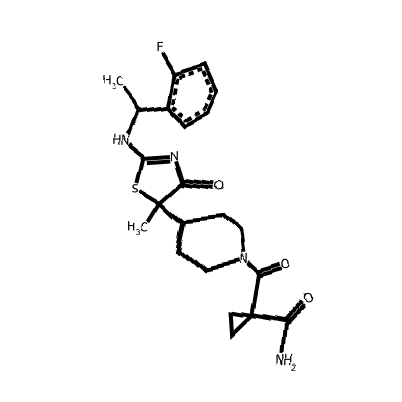 CC(NC1=NC(=O)C(C)(C2CCN(C(=O)C3(C(N)=O)CC3)CC2)S1)c1ccccc1F